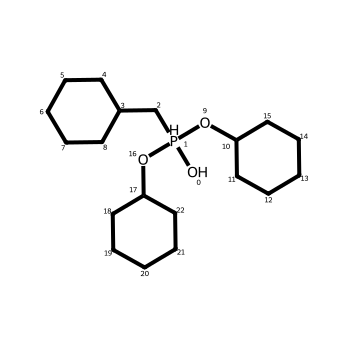 O[PH](CC1CCCCC1)(OC1CCCCC1)OC1CCCCC1